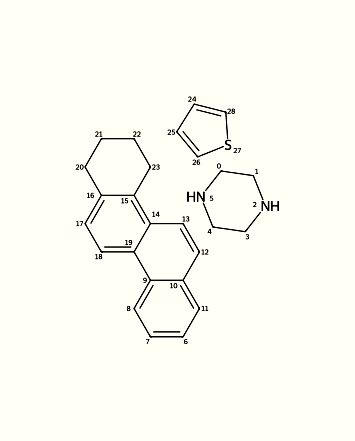 C1CNCCN1.c1ccc2c(c1)ccc1c3c(ccc12)CCCC3.c1ccsc1